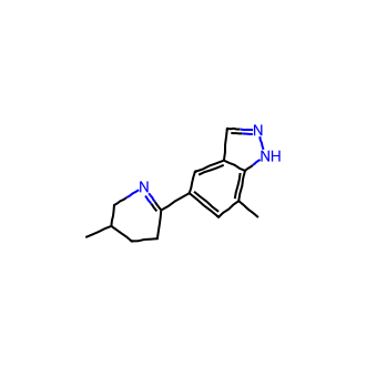 Cc1cc(C2=NCC(C)CC2)cc2cn[nH]c12